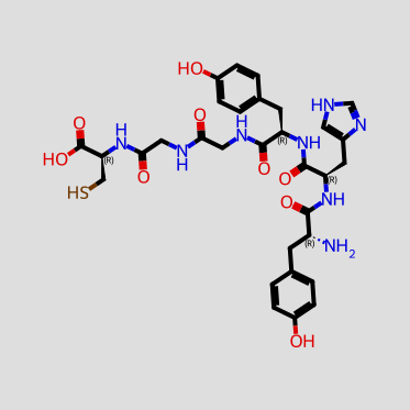 N[C@H](Cc1ccc(O)cc1)C(=O)N[C@H](Cc1c[nH]cn1)C(=O)N[C@H](Cc1ccc(O)cc1)C(=O)NCC(=O)NCC(=O)N[C@@H](CS)C(=O)O